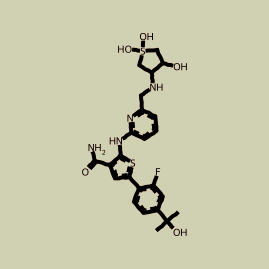 CC(C)(O)c1ccc(-c2cc(C(N)=O)c(Nc3cccc(CNC4CS(O)(O)CC4O)n3)s2)c(F)c1